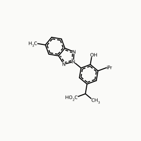 Cc1ccc2nn(-c3cc(C(C)C(=O)O)cc(C(C)C)c3O)nc2c1